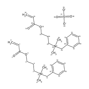 C=CC(=O)OCCC[N+](C)(C)Cc1ccccc1.C=CC(=O)OCCC[N+](C)(C)Cc1ccccc1.O=S(=O)([O-])[O-]